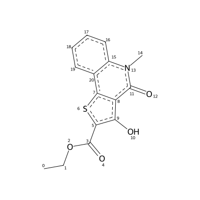 CCOC(=O)c1sc2c(c1O)c(=O)n(C)c1ccccc21